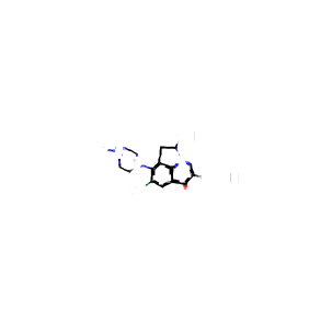 CCN1CCN(c2c(Br)cc3c(=O)c(C(=O)O)cn4c3c2CC4C)CC1